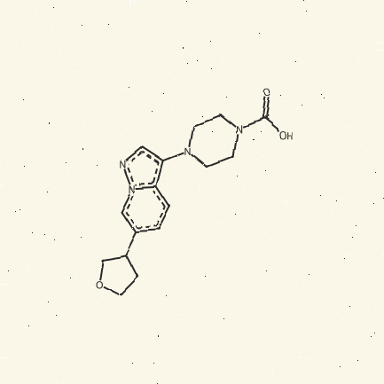 O=C(O)N1CCN(c2cnn3cc(C4CCOC4)ccc23)CC1